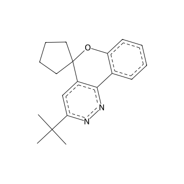 CC(C)(C)c1cc2c(nn1)-c1ccccc1OC21CCCC1